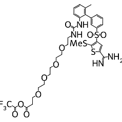 CSc1sc(C(=N)N)cc1S(=O)(=O)c1cccc(-c2c(C)cccc2NC(=O)NCCOCCOCCOCCOCCC(=O)OC(=O)C(F)(F)F)c1